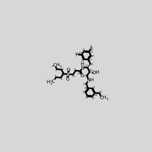 CCCC(CCC)S(=O)(=O)CCC(=O)N[C@@H](Cc1cc(F)cc(F)c1)[C@H](O)CNCc1cccc(CC)c1